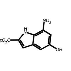 CCOC(=O)c1cc2cc(O)cc([N+](=O)[O-])c2[nH]1